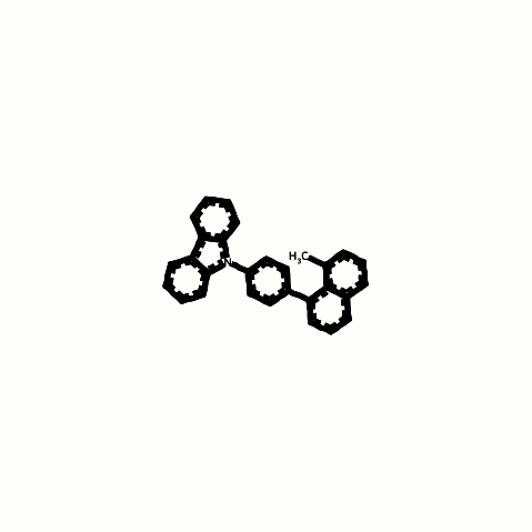 Cc1cccc2cccc(-c3ccc(-n4c5ccccc5c5ccccc54)cc3)c12